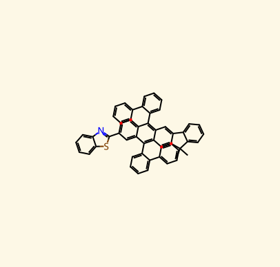 CC1(C)c2ccccc2-c2cc3c(-c4ccccc4-c4ccccc4)c4ccc(-c5nc6ccccc6s5)cc4c(-c4ccccc4-c4ccccc4)c3cc21